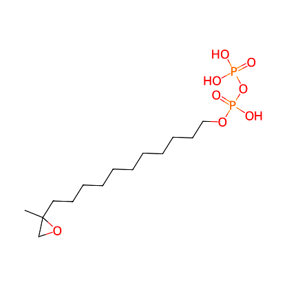 CC1(CCCCCCCCCCCOP(=O)(O)OP(=O)(O)O)CO1